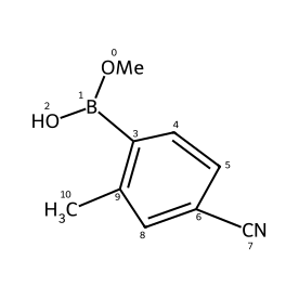 COB(O)c1ccc(C#N)cc1C